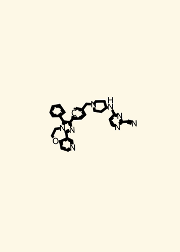 N#Cc1nccc(NC2CCN(Cc3ccc(-c4nc5n(c4-c4ccccc4)CCOc4ccncc4-5)cc3)CC2)n1